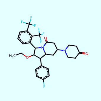 CCOC1C(c2ccc(F)cc2)C2CC(N3CCC(=O)CC3)CC(=O)N2C1c1cccc(C(F)(F)F)c1C(F)(F)F